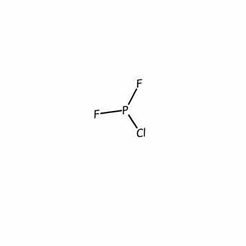 FP(F)Cl